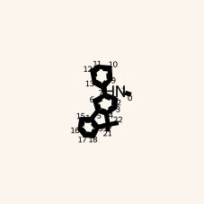 CNc1cc2c(cc1-c1ccccc1)-c1ccccc1C2(C)C